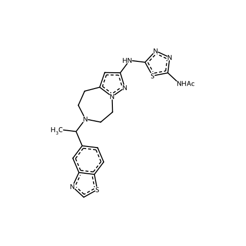 CC(=O)Nc1nnc(Nc2cc3n(n2)CCN(C(C)c2ccc4scnc4c2)CC3)s1